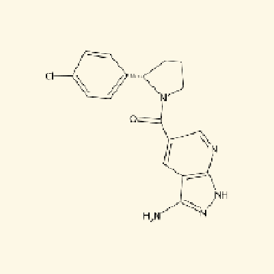 Nc1n[nH]c2ncc(C(=O)N3CCC[C@H]3c3ccc(Cl)cc3)cc12